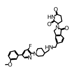 COc1cccc(-c2cnc(N3CCC(CNCc4ccc5c(c4)CN(C4CCC(=O)NC4=O)C5=O)CC3)c(F)c2)c1